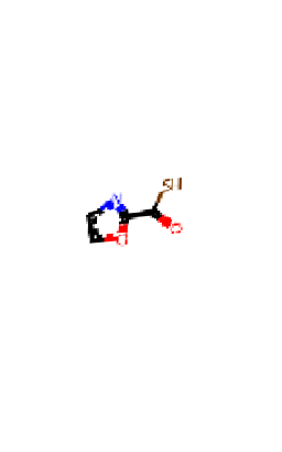 O=C(S)c1ncco1